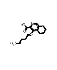 CCCCCOc1c(C(=O)O)ncc2c1CCCC2